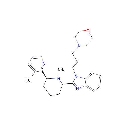 Cc1cccnc1[C@@H]1CCC[C@H](c2nc3ccccc3n2CCCN2CCOCC2)N1C